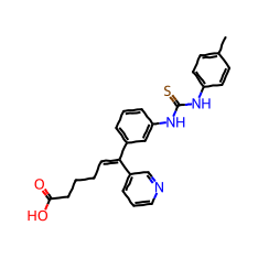 Cc1ccc(NC(=S)Nc2cccc(C(=CCCCC(=O)O)c3cccnc3)c2)cc1